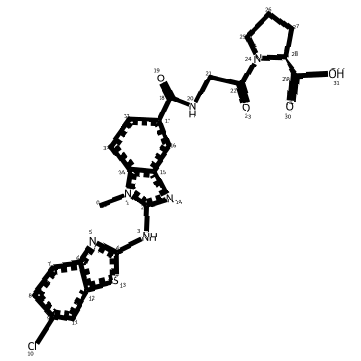 Cn1c(Nc2nc3ccc(Cl)cc3s2)nc2cc(C(=O)NCC(=O)N3CCC[C@H]3C(=O)O)ccc21